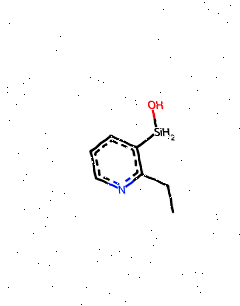 CCc1ncccc1[SiH2]O